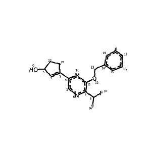 OC1C=C(c2cnc(C(F)F)c(OCc3ccccc3)n2)CC1